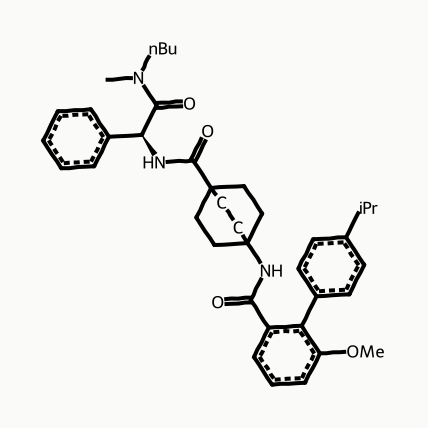 CCCCN(C)C(=O)[C@@H](NC(=O)C12CCC(NC(=O)c3cccc(OC)c3-c3ccc(C(C)C)cc3)(CC1)CC2)c1ccccc1